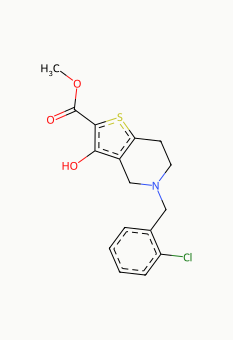 COC(=O)c1sc2c(c1O)CN(Cc1ccccc1Cl)CC2